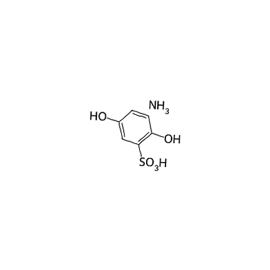 N.O=S(=O)(O)c1cc(O)ccc1O